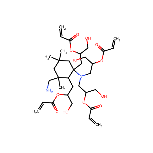 C=CC(=O)OC(CO)CC1C(C)(CN)CC(C)(C)CC1(CC(CO)OC(=O)C=C)N(CC(CO)OC(=O)C=C)CC(CO)OC(=O)C=C